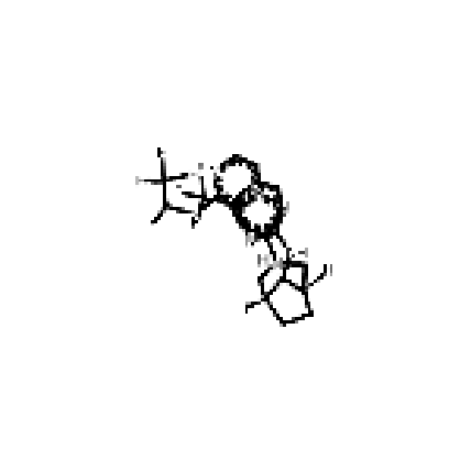 CC(Oc1nccn2nc(N[C@@H]3[C@@H]4CC[C@H]3CN(c3ccnc(C(F)(F)F)c3)C4)nc12)C(F)(F)F